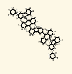 c1ccc(-c2ccc3c(c2)c2ccccc2n3-c2c3ccccc3c(-c3ccc4oc5c(-c6c7ccccc7c(-n7c8ccccc8c8cc(-c9ccccc9)ccc87)c7ccccc67)cccc5c4c3)c3ccccc23)cc1